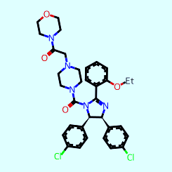 CCOc1ccccc1C1=N[C@@H](c2ccc(Cl)cc2)[C@@H](c2ccc(Cl)cc2)N1C(=O)N1CCN(CC(=O)N2CCOCC2)CC1